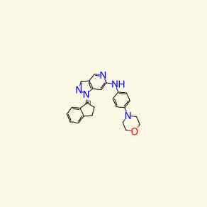 c1ccc2c(c1)CC[C@H]2n1ncc2cnc(Nc3ccc(N4CCOCC4)cc3)cc21